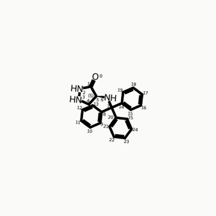 O=C1NNC[C@@H]1NC(c1ccccc1)(c1ccccc1)c1ccccc1